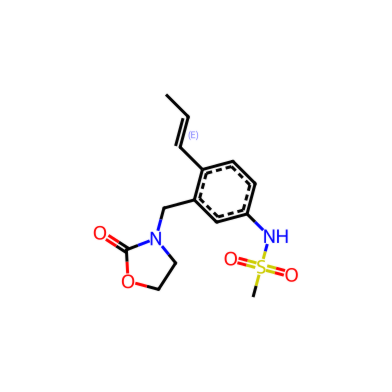 C/C=C/c1ccc(NS(C)(=O)=O)cc1CN1CCOC1=O